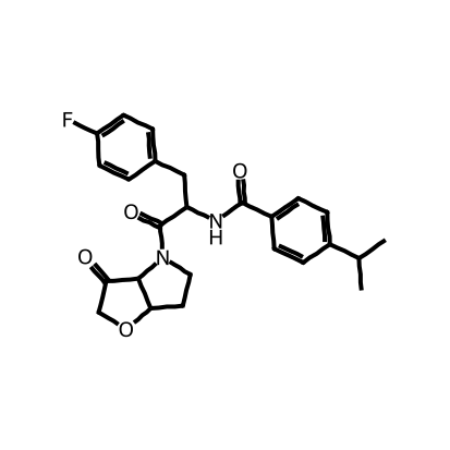 CC(C)c1ccc(C(=O)NC(Cc2ccc(F)cc2)C(=O)N2CCC3OCC(=O)C32)cc1